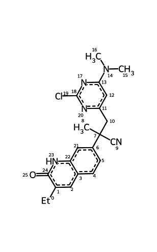 CCc1cc2ccc(C(C)(C#N)Cc3cc(N(C)C)nc(Cl)n3)cc2[nH]c1=O